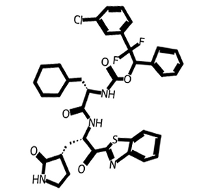 O=C(N[C@@H](CC1CCCCC1)C(=O)N[C@@H](C[C@@H]1CCNC1=O)C(=O)c1nc2ccccc2s1)OC(c1ccccc1)C(F)(F)c1cccc(Cl)c1